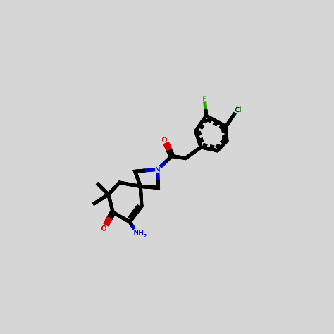 CC1(C)CC2(C=C(N)C1=O)CN(C(=O)Cc1ccc(Cl)c(F)c1)C2